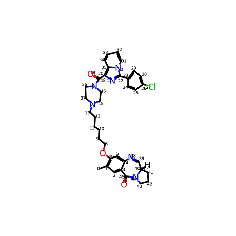 Cc1cc2c(cc1OCCCCCCN1CCN(C(=O)c3nc(-c4ccc(Cl)cc4)n4ccccc34)CC1)N=C[C@@H]1CCCN1C2=O